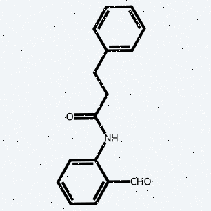 O=[C]c1ccccc1NC(=O)CCc1ccccc1